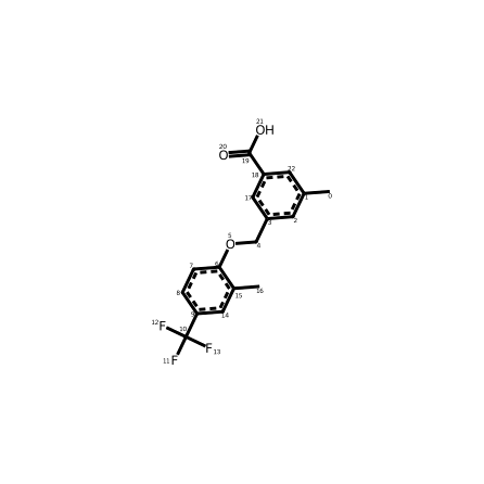 Cc1cc(COc2ccc(C(F)(F)F)cc2C)cc(C(=O)O)c1